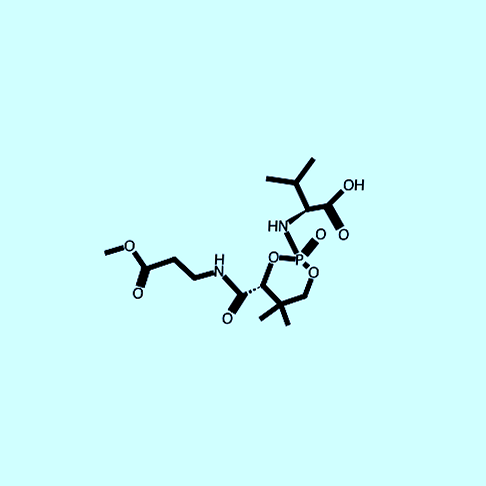 COC(=O)CCNC(=O)[C@@H]1OP(=O)(N[C@H](C(=O)O)C(C)C)OCC1(C)C